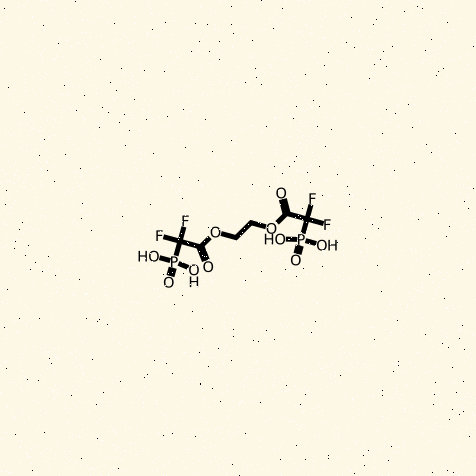 O=C(OCCOC(=O)C(F)(F)P(=O)(O)O)C(F)(F)P(=O)(O)O